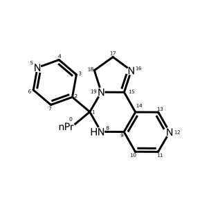 CCCC1(c2ccncc2)Nc2ccncc2C2=NCCN21